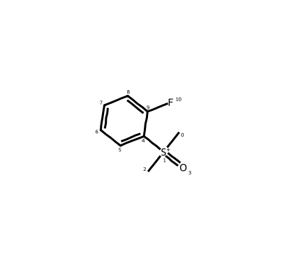 C[S+](C)(=O)c1ccccc1F